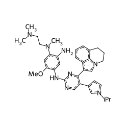 COc1cc(N(C)CCN(C)C)c(N)cc1Nc1ncc(-c2ccn(C(C)C)c2)c(-c2cn3c4c(cccc24)CCC3)n1